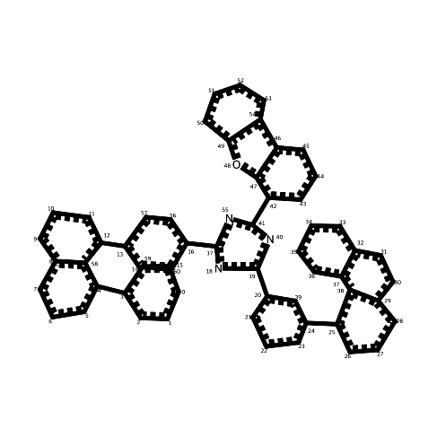 c1ccc(-c2cccc3cccc(-c4ccc(-c5nc(-c6cccc(-c7cccc8ccc9ccccc9c78)c6)nc(-c6cccc7c6oc6ccccc67)n5)cc4)c23)cc1